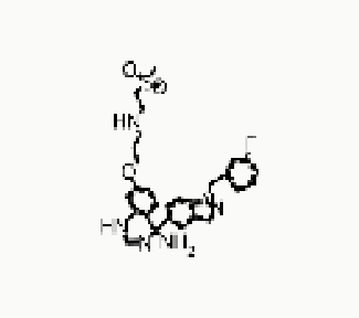 CS(=O)(=O)CCNCCCOc1ccc2c(c1)NC=NC2(N)c1ccc2c(cnn2Cc2cccc(F)c2)c1